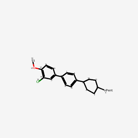 CCCCCC1CCC(c2ccc(-c3ccc(OCC)c(Cl)c3)cc2)CC1